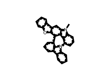 Cn1c2cc3c4ccccc4oc3c3c4cccc5c6ccccc6n(c6cccc1c6c32)c54